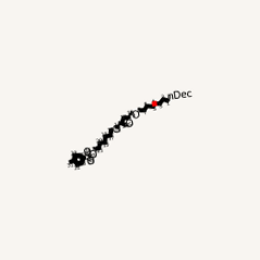 CCCCCCCCCCCCCCCCCCOC[C@@H]1C[C@@H](COCCCCCCCOS(=O)(=O)c2ccc(C)cc2)CO1